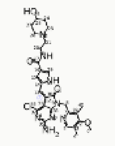 COc1c(C)cnc(CN2C(=O)/C(=C\c3cc(C(=O)NCCN4CCC(O)CC4)c[nH]3)c3c(Cl)nc(N)nc32)c1C